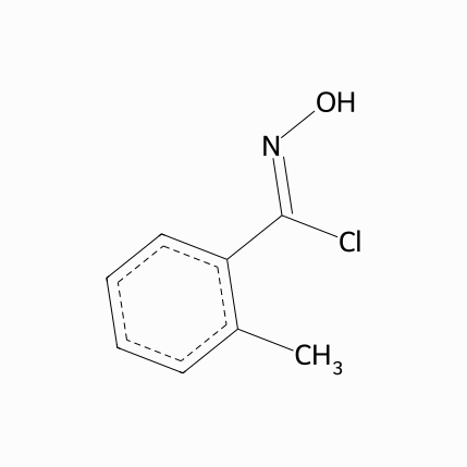 Cc1ccccc1C(Cl)=NO